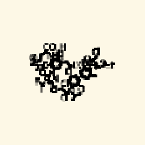 CC1COc2ccccc2N1C(=O)C(Cl)Cl.CCOC(=O)C(Cl)Cc1cc(-n2nc(C)n(C(F)F)c2=O)c(F)cc1Cl.CCOCN(C(=O)CCl)c1c(C)cccc1CC.CP(=O)(O)CCC(N)C(=O)O